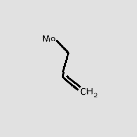 C=C[CH2][Mo]